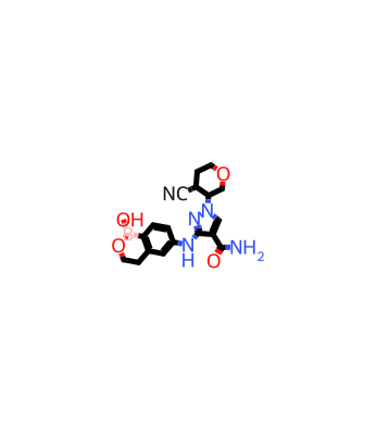 N#CC1CCOCC1n1cc(C(N)=O)c(Nc2ccc3c(c2)CCOB3O)n1